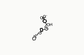 O=[N+]([O-])c1ccc(C(O)CN2CCCC2c2cccc(OCCCN3CCCCC3)c2)cc1